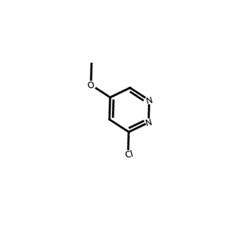 COc1cnnc(Cl)c1